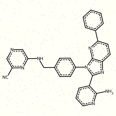 N#Cc1cncc(NCc2ccc(-n3c(-c4cccnc4N)nc4ccc(-c5ccccc5)nc43)cc2)n1